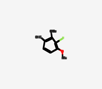 CCCCOc1ccc(C=O)c(OC)c1F